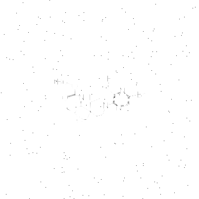 C[C@@H]1OCC2(CCN(c3ncc(Br)nc3CF)CC2)[C@@H]1NC(=O)OC(C)(C)C